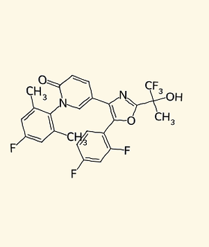 Cc1cc(F)cc(C)c1-n1cc(-c2nc(C(C)(O)C(F)(F)F)oc2-c2ccc(F)cc2F)ccc1=O